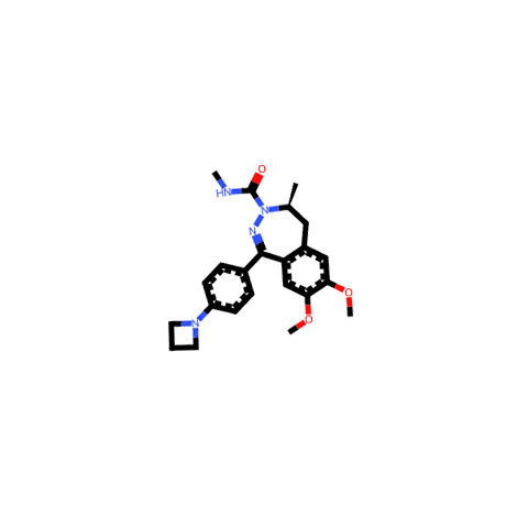 CNC(=O)N1N=C(c2ccc(N3CCC3)cc2)c2cc(OC)c(OC)cc2C[C@@H]1C